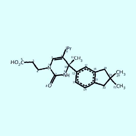 CC(C)C1=CN(CCC(=O)O)C(=O)N[C@@]1(C)c1ccc2c(c1)CC(C)(C)C2